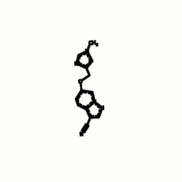 Cn1cnc(COc2ccc3c(C#N)cnn3c2)c1